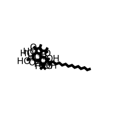 CCCCCCCCCCCCCC(=O)C1(O)[C@@H](C)[C@@]2(O)[C@@H](C3O[C@@]3(CO)C(O)[C@]3(O)C(=O)C(C)=C(C(C)=O)[C@@H]23)[C@@H]2C(C)(C)[C@@]21O